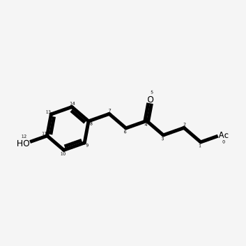 CC(=O)CCCC(=O)CCc1ccc(O)cc1